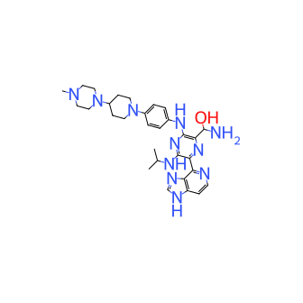 CC(C)Nc1nc(Nc2ccc(N3CCC(N4CCN(C)CC4)CC3)cc2)c(C(N)O)nc1-c1nccc2[nH]cnc12